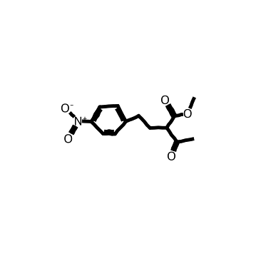 COC(=O)C(CCc1ccc([N+](=O)[O-])cc1)C(C)=O